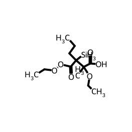 CCCC([SiH3])(C(=O)OOCC)C(C)(OCC)C(=O)O